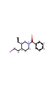 C=C[C@H]1CN(C(=O)c2ccccc2)CC[C@H]1CCI